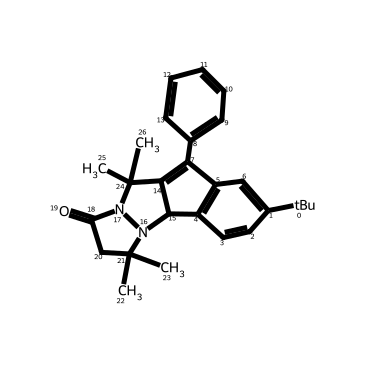 CC(C)(C)c1ccc2c(c1)C(c1ccccc1)=C1C2N2N(C(=O)CC2(C)C)C1(C)C